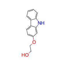 OCCOc1ccc2c(c1)[nH]c1ccccc12